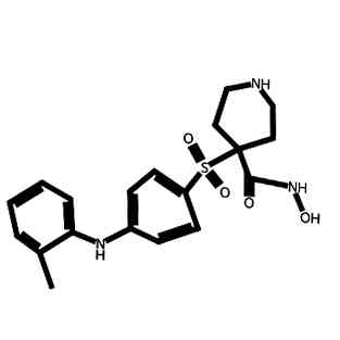 Cc1ccccc1Nc1ccc(S(=O)(=O)C2(C(=O)NO)CCNCC2)cc1